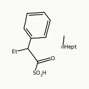 CCC(C(=O)S(=O)(=O)O)c1ccccc1.CCCCCCCC